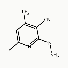 Cc1cc(C(F)(F)F)c(C#N)c(NN)n1